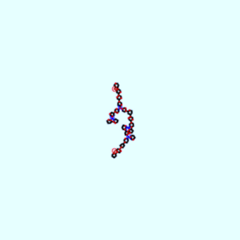 c1ccc(N(c2ccc(-c3ccc(-c4ccc5c(c4)oc4ccccc45)cc3)cc2)c2ccc(-c3ccccc3-n3c4ccccc4c4ccc(-c5ccc(-c6cccc(-c7ccc(N(c8ccc(-c9ccc(-c%10ccc%11c(c%10)oc%10ccccc%10%11)cc9)cc8)c8ccc(-c9cccc(-n%10c%11ccccc%11c%11ccccc%11%10)c9)cc8)cc7)c6)cc5)cc43)cc2)cc1